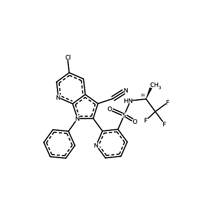 C[C@H](NS(=O)(=O)c1cccnc1-c1c(C#N)c2cc(Cl)cnc2n1-c1ccccc1)C(F)(F)F